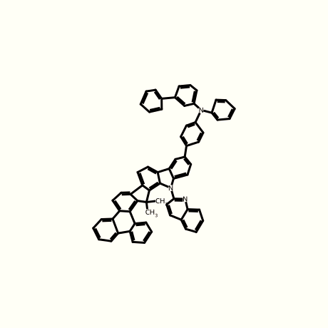 CC1(C)c2c(ccc3c4ccccc4c4ccccc4c23)-c2ccc3c4cc(-c5ccc(N(c6ccccc6)c6cccc(-c7ccccc7)c6)cc5)ccc4n(-c4ccc5ccccc5n4)c3c21